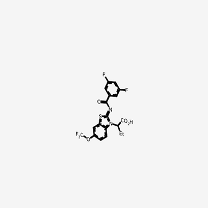 CCC(C(=O)O)n1c(=NC(=O)c2cc(F)cc(F)c2)sc2cc(OC(F)(F)F)ccc21